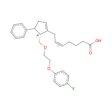 O=C(O)CCC/C=C\CC1=CCC(c2ccccc2)[C@H]1COCCOc1ccc(F)cc1